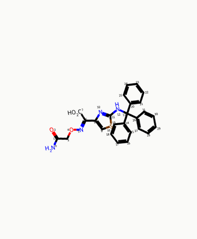 NC(=O)CO/N=C(\C(=O)O)c1csc(NC(c2ccccc2)(c2ccccc2)c2ccccc2)n1